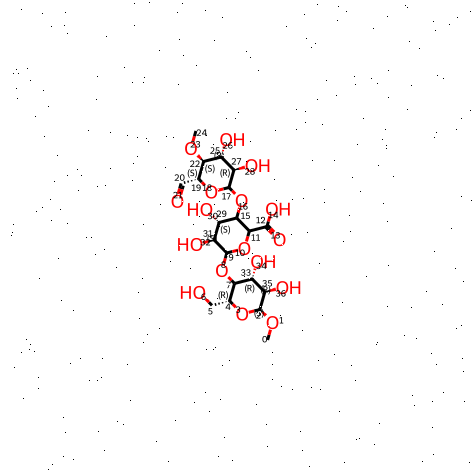 CO[C@H]1O[C@H](CO)C(OC2OC(C(=O)O)C(OC3O[C@H](C=O)[C@@H](OC)[C@H](O)[C@H]3O)[C@@H](O)[C@@H]2O)[C@H](O)[C@H]1O